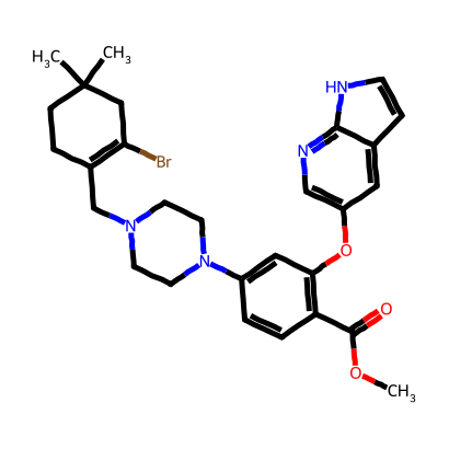 COC(=O)c1ccc(N2CCN(CC3=C(Br)CC(C)(C)CC3)CC2)cc1Oc1cnc2[nH]ccc2c1